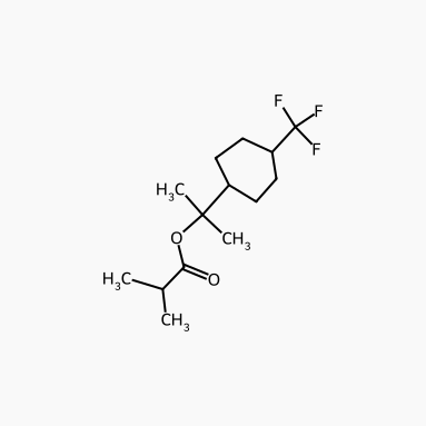 CC(C)C(=O)OC(C)(C)C1CCC(C(F)(F)F)CC1